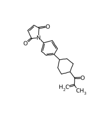 C=C(C)C(=O)C1CCC(c2ccc(N3C(=O)C=CC3=O)cc2)CC1